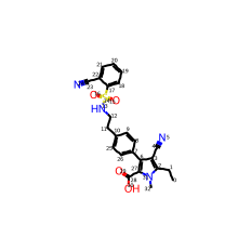 CCc1c(C#N)c(-c2ccc(CCNS(=O)(=O)c3ccccc3C#N)cc2)c(C(=O)O)n1C